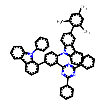 Cc1cc(C)c(-c2ccc3c(c2)c2ccccc2n3-c2ccc(-c3cccc4c5ccccc5n(-c5ccccc5)c34)cc2-c2nc(-c3ccccc3)nc(-c3ccccc3)n2)c(C)c1